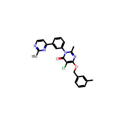 Cc1cccc(COc2nc(C)n(-c3cccc(-c4ccnc(C(C)(C)C)n4)c3)c(=O)c2Cl)c1